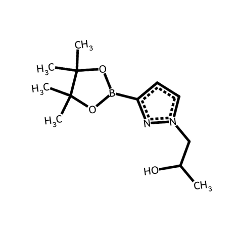 CC(O)Cn1ccc(B2OC(C)(C)C(C)(C)O2)n1